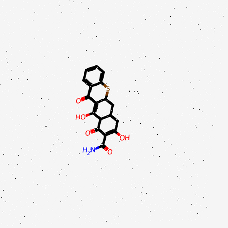 NC(=O)C1=C(O)CC2CC3Sc4ccccc4C(=O)C3=C(O)C2C1=O